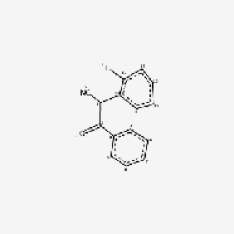 N#CC(C(=O)c1ccccc1)c1ccccc1F